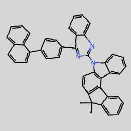 CC1(C)c2ccccc2-c2c1ccc1c2c2ccccc2n1-c1nc(-c2ccc(-c3cccc4ccccc34)cc2)c2ccccc2n1